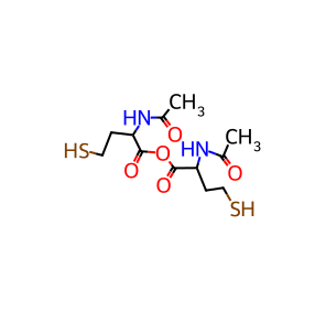 CC(=O)NC(CCS)C(=O)OC(=O)C(CCS)NC(C)=O